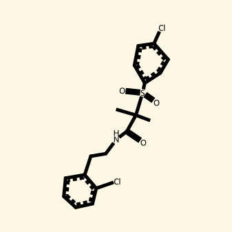 CC(C)(C(=O)NCCc1ccccc1Cl)S(=O)(=O)c1ccc(Cl)cc1